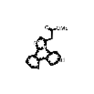 COC(=O)Cc1cnc2c3ccccc3c3ccccc3n12.Cl